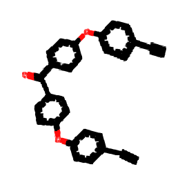 C#Cc1ccc(Oc2ccc(C(=O)c3ccc(Oc4ccc(C#C)cc4)cc3)cc2)cc1